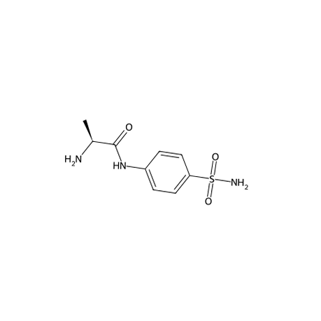 C[C@H](N)C(=O)Nc1ccc(S(N)(=O)=O)cc1